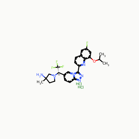 CC(C)Oc1cc(F)cc2ccc(-c3nnc4ccc([C@H](N5CCC(C)(N)C5)C(F)(F)F)cn34)nc12.Cl.Cl